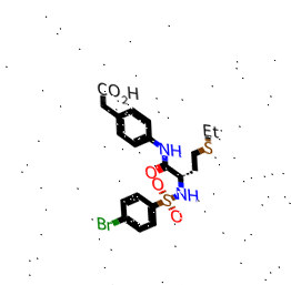 CCSCC[C@H](NS(=O)(=O)c1ccc(Br)cc1)C(=O)Nc1ccc(CC(=O)O)cc1